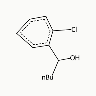 CCCCC(O)c1ccccc1Cl